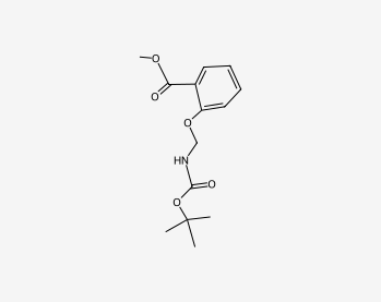 COC(=O)c1ccccc1OCNC(=O)OC(C)(C)C